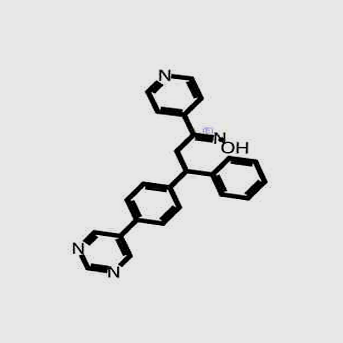 O/N=C(\CC(c1ccccc1)c1ccc(-c2cncnc2)cc1)c1ccncc1